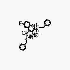 O=C(NCCc1ccccc1)c1c([N+](=O)[O-])c(NCCc2ccccc2)nc2ccc(F)cc12